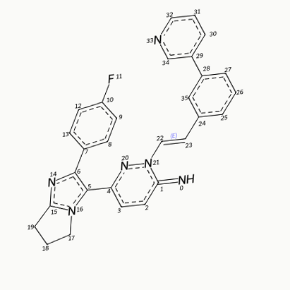 N=c1ccc(-c2c(-c3ccc(F)cc3)nc3n2CCC3)nn1/C=C/c1cccc(-c2cccnc2)c1